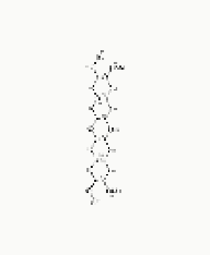 CCOCCOCCOCCOCCOCC.COCCOCCOCCOCCOC